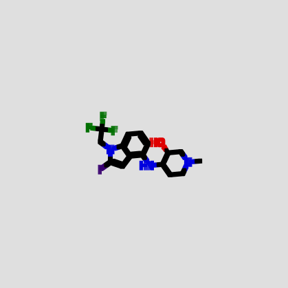 CN1CCC(Nc2cccc3c2cc(I)n3CC(F)(F)F)[C@@H](O)C1